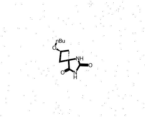 CCCCO[C@H]1C[C@]2(C1)NC(=O)NC2=O